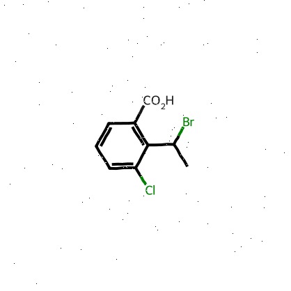 CC(Br)c1c(Cl)cccc1C(=O)O